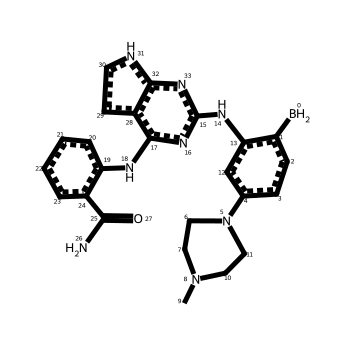 Bc1ccc(N2CCN(C)CC2)cc1Nc1nc(Nc2ccccc2C(N)=O)c2cc[nH]c2n1